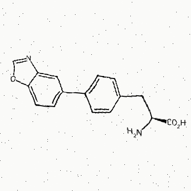 N[C@@H](Cc1ccc(-c2ccc3ocnc3c2)cc1)C(=O)O